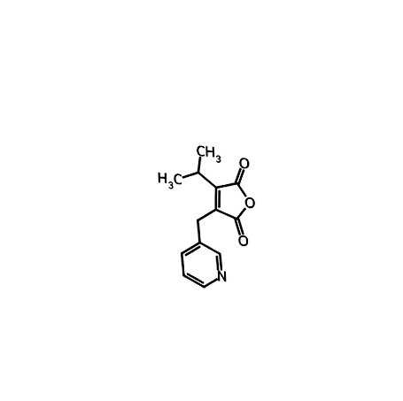 CC(C)C1=C(Cc2cccnc2)C(=O)OC1=O